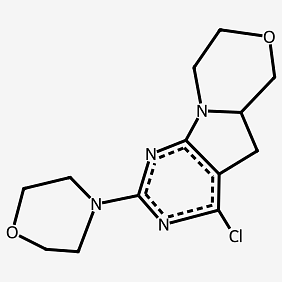 Clc1nc(N2CCOCC2)nc2c1CC1COCCN21